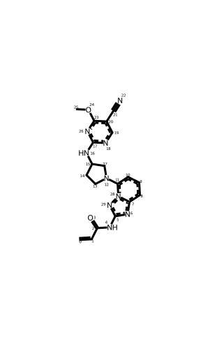 C=CC(=O)Nc1nc2cccc(N3CCC(Nc4ncc(C#N)c(OC)n4)C3)n2n1